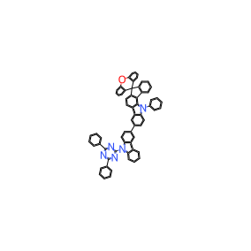 c1ccc(-c2nc(-c3ccccc3)nc(-n3c4ccccc4c4cc(-c5ccc6c(c5)c5ccc7c(c5n6-c5ccccc5)-c5ccccc5C75c6ccccc6Oc6ccccc65)ccc43)n2)cc1